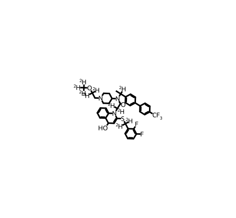 [2H]C([2H])([2H])OC([2H])([2H])CN1CCC(N(C(=O)C([2H])([2H])N2C(SC([2H])([2H])c3cccc(F)c3F)=CC(O)c3ccccc32)C([2H])(C)c2ccc(-c3ccc(C(F)(F)F)cc3)cc2)CC1